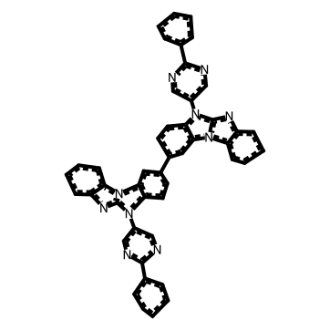 c1ccc(-c2ncc(-n3c4ccc(-c5ccc6c(c5)n5c7ccccc7nc5n6-c5cnc(-c6ccccc6)nc5)cc4n4c5ccccc5nc34)cn2)cc1